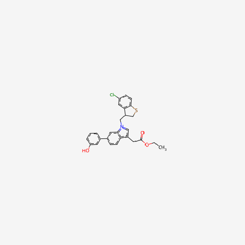 CCOC(=O)Cc1cn(CC2CSc3ccc(Cl)cc32)c2cc(-c3cccc(O)c3)ccc12